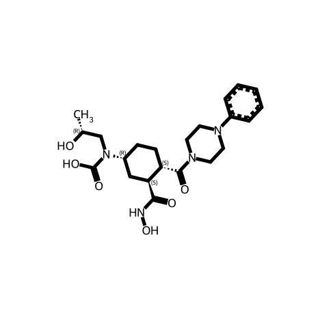 C[C@@H](O)CN(C(=O)O)[C@@H]1CC[C@H](C(=O)N2CCN(c3ccccc3)CC2)[C@@H](C(=O)NO)C1